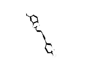 CCc1ccc2nc(/C=C/C#Cc3ccc(N)nc3)sc2c1